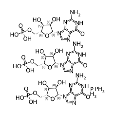 Nc1nc2c(ncn2[C@@H]2O[C@H](COP(=O)(O)O)[C@@H](O)[C@H]2O)c(=O)[nH]1.Nc1nc2c(ncn2[C@@H]2O[C@H](COP(=O)(O)O)[C@@H](O)[C@H]2O)c(=O)[nH]1.Nc1nc2c(ncn2[C@@H]2O[C@H](COP(=O)(O)O)[C@@H](O)[C@H]2O)c(=O)[nH]1.P.P